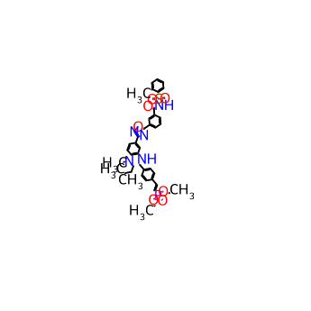 CCOP(=O)(/C=C/c1ccc(CNc2cc(-c3noc(-c4cccc(C(=O)NS(=O)(=O)c5ccccc5C)c4)n3)ccc2N(C)CCC(C)C)cc1)OCC